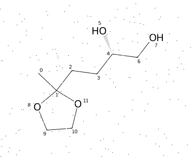 CC1(CC[C@H](O)CO)OCCO1